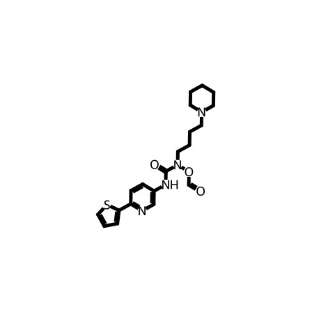 O=CON(CCCCN1CCCCC1)C(=O)Nc1ccc(-c2cccs2)nc1